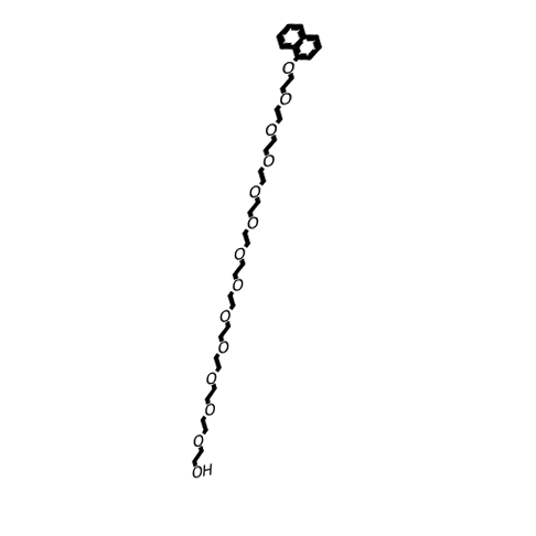 OCCOCCOCCOCCOCCOCCOCCOCCOCCOCCOCCOCCOCCOc1cccc2ccccc12